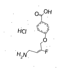 Cl.NC/C=C(/F)COc1ccc(C(=O)O)cc1